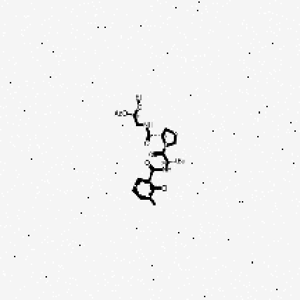 CCO[C@@H](CNC(=O)[C@@H]1CCCN1C(=O)[C@@H](NC(=O)c1cccc(C)c1Cl)C(C)(C)C)OC(C)=O